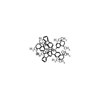 Cc1c(N2c3c(c(-c4cc5c(cc4Nc4ccc6c(c4)C(C)CCC6(C)C)C(C)(C)CCC5(C)C)cc4c3C(C)(C)c3ccccc3-4)Bc3ccc4c(sc5ccccc54)c32)ccc2c1C(C)(C)CCC2(C)C